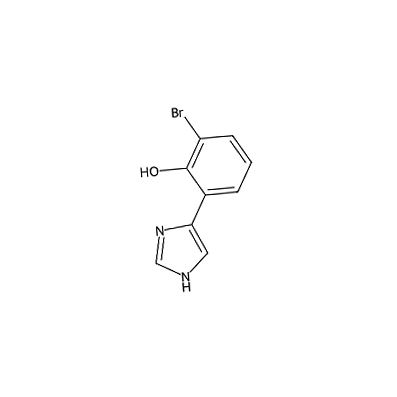 Oc1c(Br)cccc1-c1c[nH]cn1